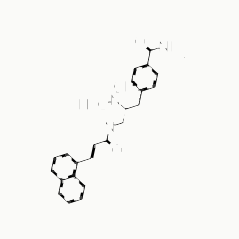 CN(C)[C@H](CNC(=O)/C=C/c1cccc2ccccc12)Cc1ccc(C(N)=O)cc1